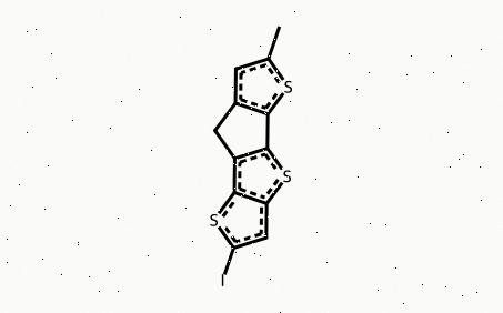 Cc1cc2c(s1)-c1sc3cc(I)sc3c1C2